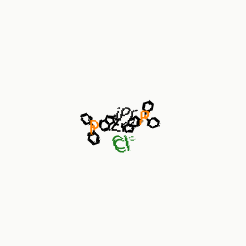 CC(C)C1=Cc2cc(P(c3ccccc3)c3ccccc3)ccc2[CH]1[Zr+2][CH]1C=Cc2cc(P(c3ccccc3)c3ccccc3)ccc21.[Cl-].[Cl-]